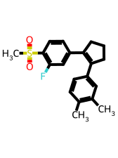 Cc1ccc(C2=C(c3ccc(S(C)(=O)=O)c(F)c3)CCC2)cc1C